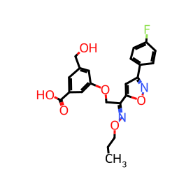 CCCO/N=C(\COc1cc(CO)cc(C(=O)O)c1)c1cc(-c2ccc(F)cc2)no1